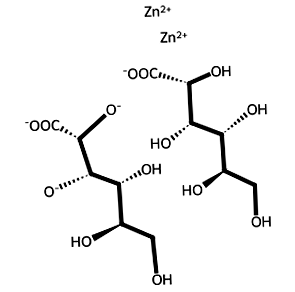 O=C([O-])[C@H](O)[C@@H](O)[C@H](O)[C@H](O)CO.O=C([O-])[C@H]([O-])[C@@H]([O-])[C@H](O)[C@H](O)CO.[Zn+2].[Zn+2]